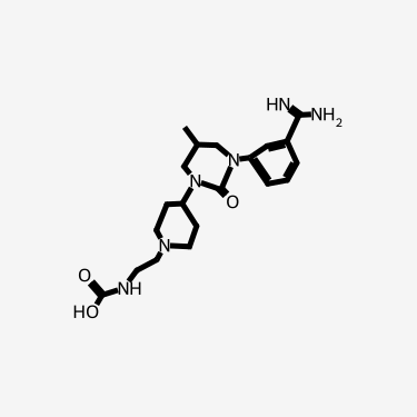 CC1CN(c2cccc(C(=N)N)c2)C(=O)N(C2CCN(CCNC(=O)O)CC2)C1